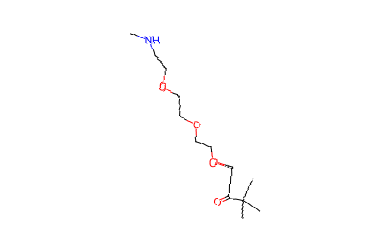 CNCCOCCOCCOCC(=O)C(C)(C)C